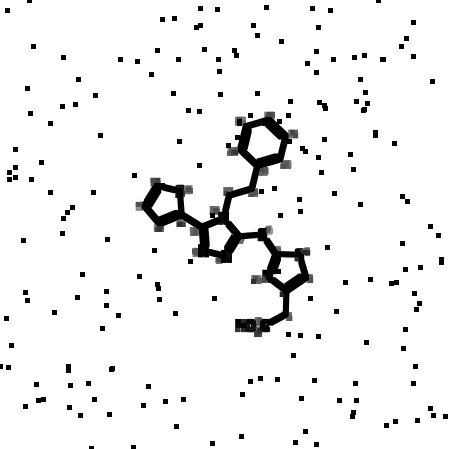 O=C(O)Cc1csc(Sc2nnc(-c3cccs3)n2CCc2ccccc2)n1